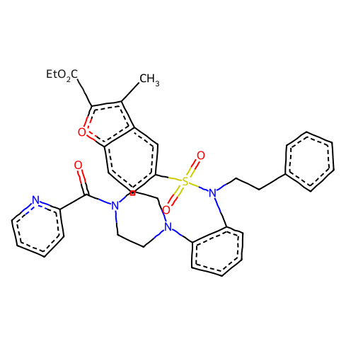 CCOC(=O)c1oc2ccc(S(=O)(=O)N(CCc3ccccc3)c3ccccc3N3CCN(C(=O)c4ccccn4)CC3)cc2c1C